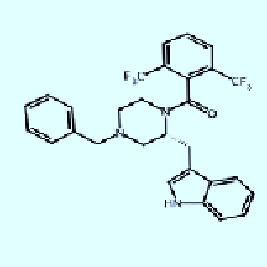 O=C(c1c(C(F)(F)F)cccc1C(F)(F)F)N1CCN(Cc2ccccc2)C[C@H]1Cc1c[nH]c2ccccc12